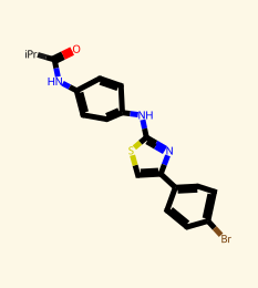 CC(C)C(=O)Nc1ccc(Nc2nc(-c3ccc(Br)cc3)cs2)cc1